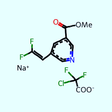 COC(=O)c1cncc(C=C(F)F)c1.O=C([O-])C(F)(F)Cl.[Na+]